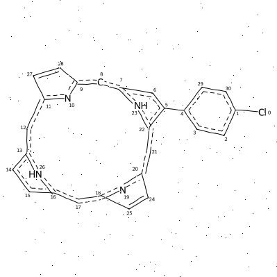 Clc1ccc(-c2cc3cc4nc(cc5ccc(cc6nc(cc2[nH]3)C=C6)[nH]5)C=C4)cc1